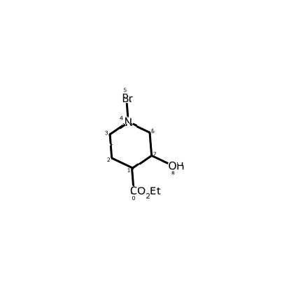 CCOC(=O)C1CCN(Br)CC1O